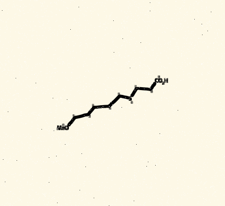 COCCCCCSCCC(=O)O